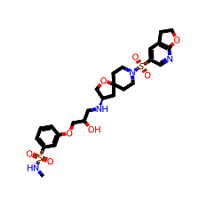 CNS(=O)(=O)c1cccc(OCC(O)CN[C@H]2COC3(CCN(S(=O)(=O)c4cnc5c(c4)CCO5)CC3)C2)c1